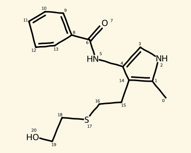 Cc1[nH]cc(NC(=O)c2ccccc2)c1CCSCCO